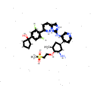 C[C@H]1C[C@@H](c2ccncc2Nc2ncc3ccc(-c4c(F)cc(C5(O)CCCC5)cc4F)nn23)C[C@@H](N)[C@H]1OCCS(C)(=O)=O